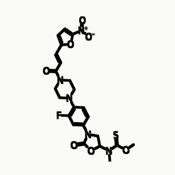 COC(=S)N(C)C1CN(c2ccc(N3CCN(C(=O)C=Cc4ccc([N+](=O)[O-])o4)CC3)c(F)c2)C(=O)O1